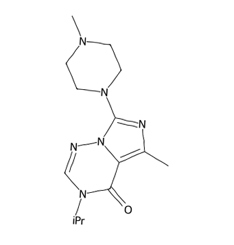 Cc1nc(N2CCN(C)CC2)n2ncn(C(C)C)c(=O)c12